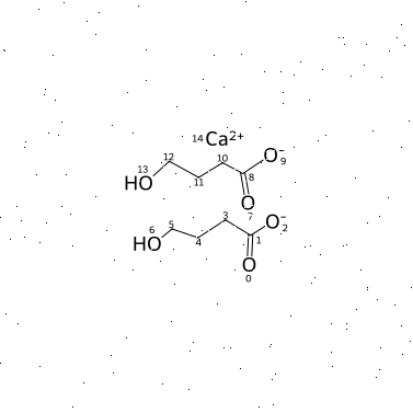 O=C([O-])CCCO.O=C([O-])CCCO.[Ca+2]